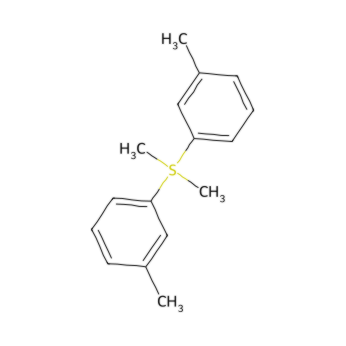 Cc1cccc(S(C)(C)c2cccc(C)c2)c1